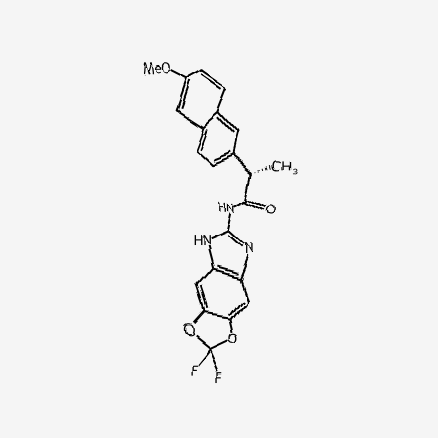 COc1ccc2cc([C@H](C)C(=O)Nc3nc4cc5c(cc4[nH]3)OC(F)(F)O5)ccc2c1